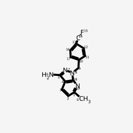 Cc1ccc2c(N)nn(Cc3ccc(CF)cc3)c2n1